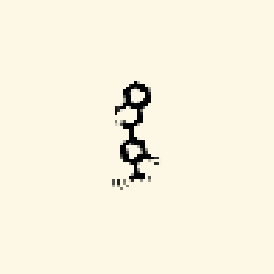 CC(=O)c1ccc(C(=O)Cc2ccccc2F)cc1Cl